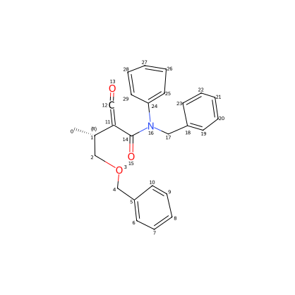 C[C@@H](COCc1ccccc1)C(=C=O)C(=O)N(Cc1ccccc1)c1ccccc1